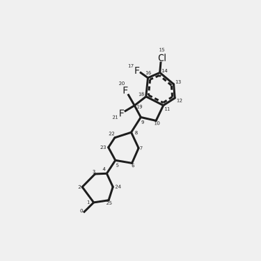 CC1CCC(C2CCC(C3Cc4ccc(Cl)c(F)c4C3(F)F)CC2)CC1